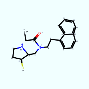 CC(C)CC(=O)N(CCc1cccc2ccccc12)CC1NCCC1S